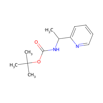 [CH2]C(NC(=O)OC(C)(C)C)c1ccccn1